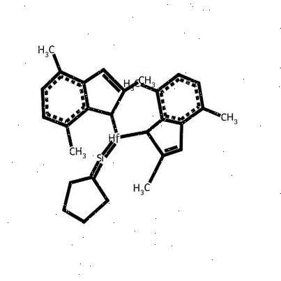 CC1=Cc2c(C)ccc(C)c2[CH]1[Hf](=[Si]=C1CCCC1)[CH]1C(C)=Cc2c(C)ccc(C)c21